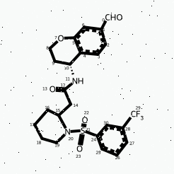 O=Cc1ccc2c(c1)OCC[C@H]2NC(=O)CC1CCCCN1S(=O)(=O)c1cccc(C(F)(F)F)c1